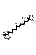 CC(C)(CCCCCC(F)CCCCCC(C)(C)C(=O)O)C(=O)O